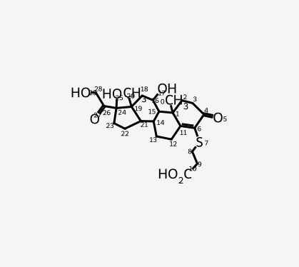 CC12CCC(=O)C(SCCC(=O)O)=C1CCC1C2C(O)CC2(C)C1CCC2(O)C(=O)CO